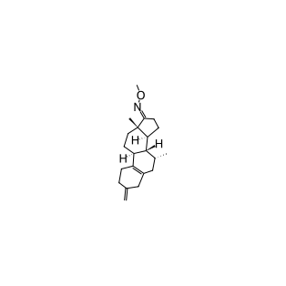 C=C1CCC2=C(C1)C[C@@H](C)[C@@H]1[C@@H]2CC[C@]2(C)C(=NOC)CC[C@@H]12